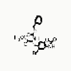 COC(=O)[C@@H](Cc1cc2oc(=O)[nH]c2cc1Br)NC(=O)OCc1ccccc1